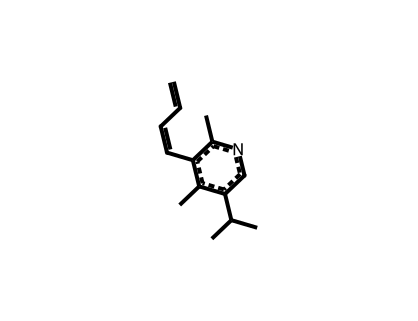 C=C/C=C\c1c(C)ncc(C(C)C)c1C